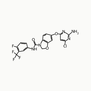 Nc1nc(Cl)cc(Oc2ccc3c(c2)OCN3C(=O)Nc2ccc(F)c(C(F)(F)F)c2)n1